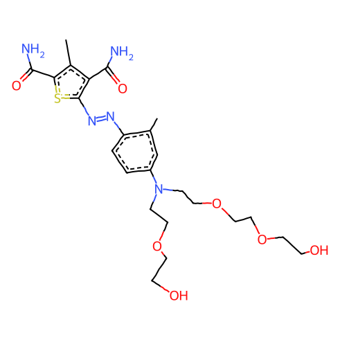 Cc1cc(N(CCOCCO)CCOCCOCCO)ccc1/N=N/c1sc(C(N)=O)c(C)c1C(N)=O